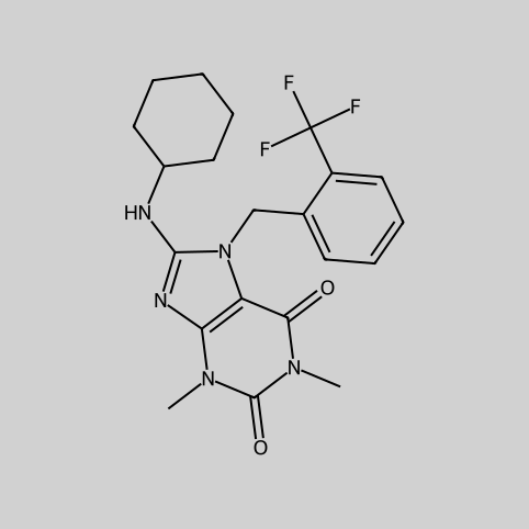 Cn1c(=O)c2c(nc(NC3CCCCC3)n2Cc2ccccc2C(F)(F)F)n(C)c1=O